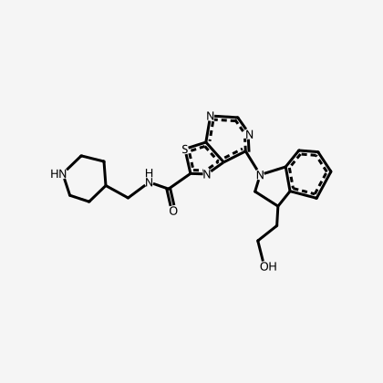 O=C(NCC1CCNCC1)c1nc2c(N3CC(CCO)c4ccccc43)ncnc2s1